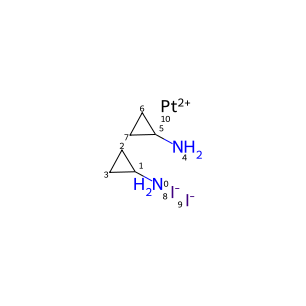 NC1CC1.NC1CC1.[I-].[I-].[Pt+2]